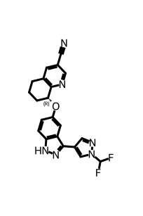 N#Cc1cnc2c(c1)CCC[C@H]2Oc1ccc2[nH]nc(-c3cnn(C(F)F)c3)c2c1